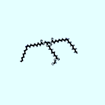 CCCCCCCC/C=C\CCCCCCCC(=O)OCC(COC(=O)CCCCCCC/C=C\CCCCCCCC)OC(=O)CCCCCCC(=O)OCCl